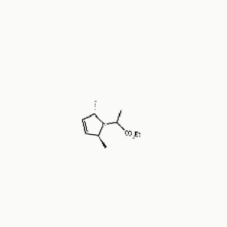 CCOC(=O)C(C)N1[C@@H](C)C=C[C@@H]1C